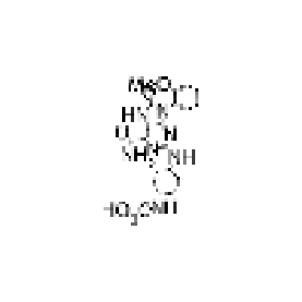 COc1ccccc1-n1c(=O)[nH]c2c(C(N)=O)nc(N[C@H]3CC[C@H](NC(=O)O)CC3)nc21